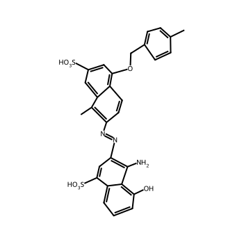 Cc1ccc(COc2cc(S(=O)(=O)O)cc3c(C)c(N=Nc4cc(S(=O)(=O)O)c5cccc(O)c5c4N)ccc23)cc1